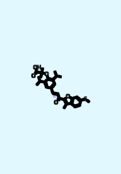 CSc1ccc2c(C)c(C(=O)/C=C/c3cc(C(C)C)c(OC(C)(C)C(=O)O)c(C(C)C)c3)oc2c1